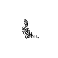 CO/N=C(\C(=O)N[C@@H]1C(=O)N2C(C(=O)[O-])=C(Cn3cc[n+]4nc(OC)ccc34)CS[C@H]12)c1nsc(N)n1